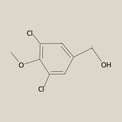 COc1c(Cl)cc([CH]O)cc1Cl